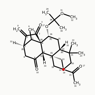 C=C1C(=O)[C@]23C(C)[C@H]1CC(=O)[C@H]2[C@]1(COC(C)=O)CCCC(C)(C)[C@H]1C[C@H]3OC(C)(C)OC